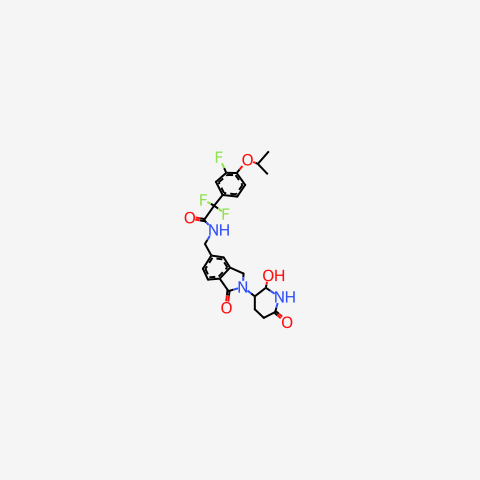 CC(C)Oc1ccc(C(F)(F)C(=O)NCc2ccc3c(c2)CN(C2CCC(=O)NC2O)C3=O)cc1F